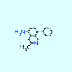 Cc1cc2c(N)ccc(-c3ccccc3)c2cn1